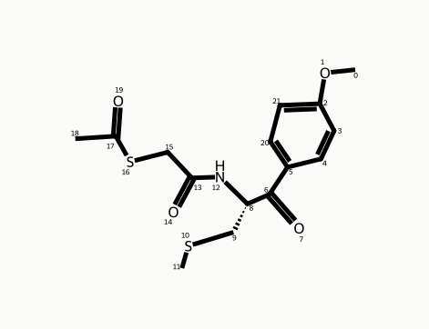 COc1ccc(C(=O)[C@H](CSC)NC(=O)CSC(C)=O)cc1